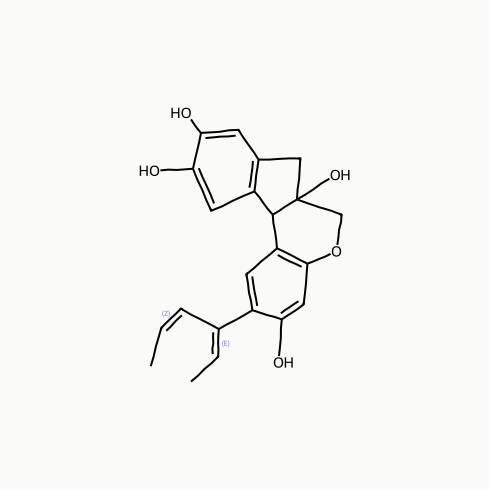 C/C=C\C(=C/C)c1cc2c(cc1O)OCC1(O)Cc3cc(O)c(O)cc3C21